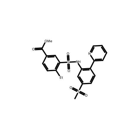 CCc1ccc(C(=O)OC)cc1S(=O)(=O)Nc1cc(S(C)(=O)=O)ccc1-c1ccccn1